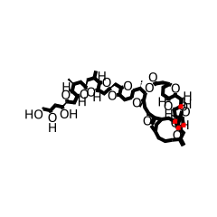 C=C1C[C@@H]2CC3C4CC(CCC1O2)OC(C[C@]1(C)OC2CC5O[C@]6(CC5OC2[C@H](C)C1OC(=O)CC1CC[C@@H]2OC5[C@@H]7O[C@@]38CC7O[C@@H]5[C@@H](O8)C2O1)C[C@@H]1O[C@@]2(CC(C)[C@@H]1O6)C[C@H](C)[C@@H]1O[C@H](C(O)CC(O)CO)C[C@@H]1O2)C4=C